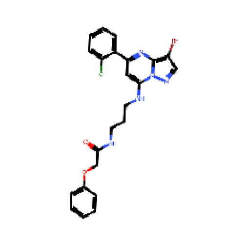 O=C(COc1ccccc1)NCCCNc1cc(-c2ccccc2Cl)nc2c(Br)cnn12